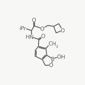 Cc1c(C(=O)NC(C(=O)OCC2COC2)C(C)C)ccc2c1B(O)OC2